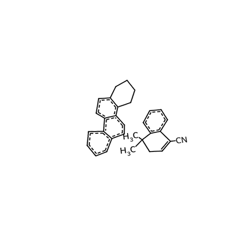 CC1(C)CC=C(C#N)c2ccccc21.c1ccc2c(c1)ccc1c3c(ccc12)CCCC3